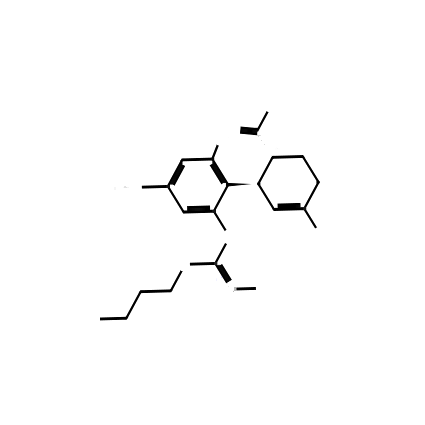 C=C(C)[C@@H]1CCC(C)=C[C@H]1c1c(O)cc(CCCCC)cc1O/C(=N\C)SCCCBr